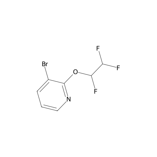 FC(F)C(F)Oc1ncccc1Br